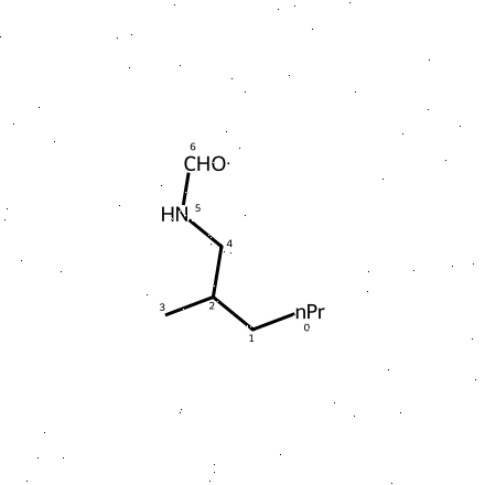 CCCCC(C)CN[C]=O